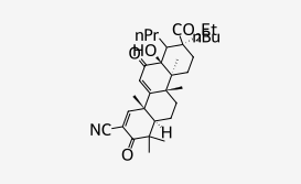 CCCC[C@]1(C(=O)OCC)CC[C@@]2(C)[C@]3(C)CC[C@H]4C(C)(C)C(=O)C(C#N)=C[C@]4(C)C3=CC(=O)[C@]2(O)C1CCC